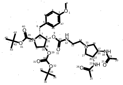 COc1ccc(C[C@@H]2[C@H](OC(=O)NCCN3C[C@@H](NC(C)=O)[C@H](NC(C)=O)C3)[C@@H](OC(=O)OC(C)(C)C)CN2C(=O)OC(C)(C)C)cc1